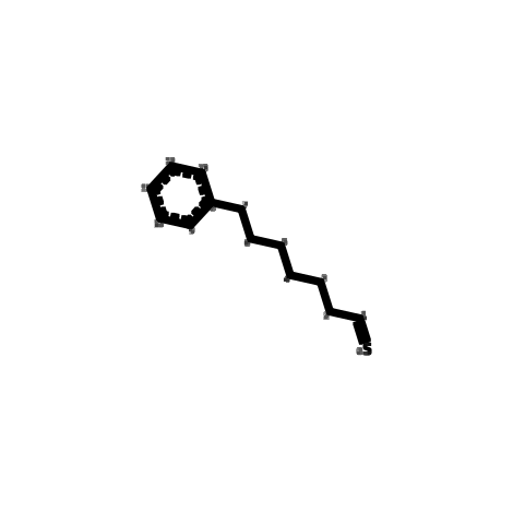 S=[C]CCCCCCc1ccccc1